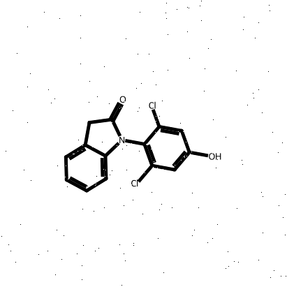 O=C1Cc2ccccc2N1c1c(Cl)cc(O)cc1Cl